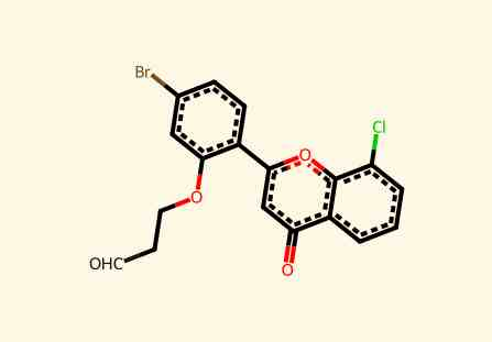 O=CCCOc1cc(Br)ccc1-c1cc(=O)c2cccc(Cl)c2o1